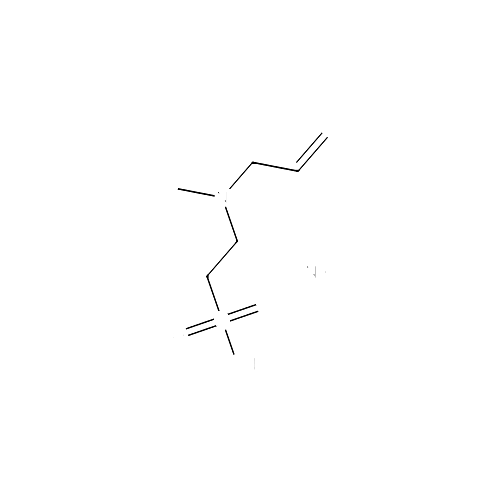 C=CCN(C)CCS(=O)(=O)O.[Na]